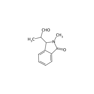 CC(C=O)C1c2ccccc2C(=O)N1C